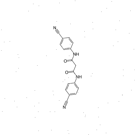 N#Cc1ccc(NC(=O)CC(=O)Nc2ccc(C#N)cc2)cc1